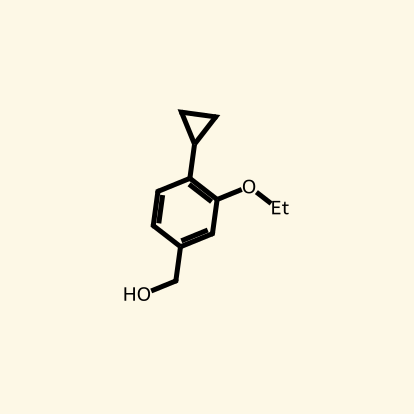 CCOc1cc(CO)ccc1C1CC1